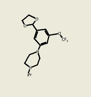 CC(C)N1CCN(c2cc(OC(F)(F)F)cc(C3OCCO3)c2)CC1